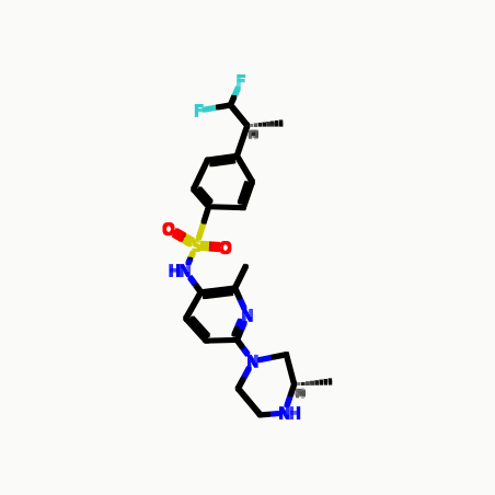 Cc1nc(N2CCN[C@@H](C)C2)ccc1NS(=O)(=O)c1ccc([C@@H](C)C(F)F)cc1